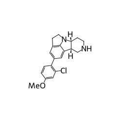 COc1ccc(-c2cc3c4c(c2)[C@H]2CNCC[C@H]2N4CC3)c(Cl)c1